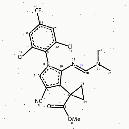 COC(=O)C1(c2c(C#N)nn(-c3c(Cl)cc(C(F)(F)F)cc3Cl)c2/N=C/N(C)C)CC1